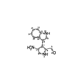 Nc1c[nH]c(C=O)c1-c1c[nH]c2ccccc12